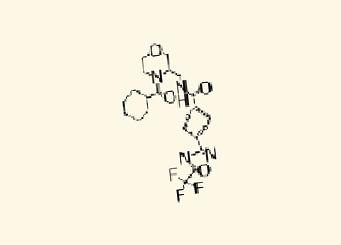 O=C(NC[C@@H]1COCCN1C(=O)C1CCCCC1)c1ccc(-c2noc(C(F)(F)F)n2)cc1